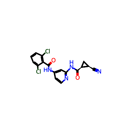 N#C[C@@H]1C[C@@H]1C(=O)Nc1cc(NC(=O)c2c(Cl)cccc2Cl)ccn1